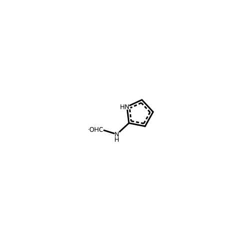 O=[C]Nc1ccc[nH]1